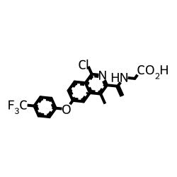 C=C(NCC(=O)O)c1nc(Cl)c2ccc(Oc3ccc(C(F)(F)F)cc3)cc2c1C